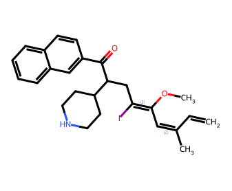 C=C/C(C)=C\C(OC)=C(/I)CC(C(=O)c1ccc2ccccc2c1)C1CCNCC1